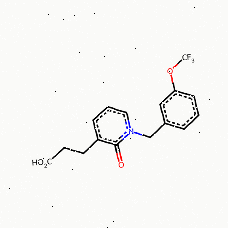 O=C(O)CCc1cccn(Cc2cccc(OC(F)(F)F)c2)c1=O